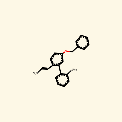 CSc1ccccc1-c1cc(OCc2ccccc2)ccc1/C=C/[N+](=O)[O-]